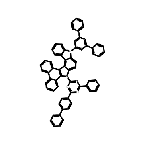 c1ccc(-c2ccc(-c3nc(-c4ccccc4)nc(-n4c5ccc6c(c7ccccc7n6-c6cc(-c7ccccc7)cc(-c7ccccc7)c6)c5c5c6ccccc6c6ccccc6c54)n3)cc2)cc1